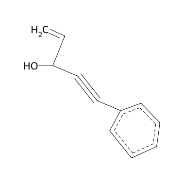 C=CC(O)C#Cc1ccccc1